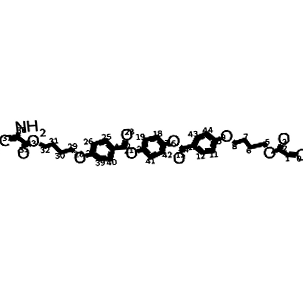 C=CC(=O)OCCCCOc1ccc(C(=O)Oc2ccc(OC(=O)c3ccc(OCCCCOC(=O)C(=C)N)cc3)cc2)cc1